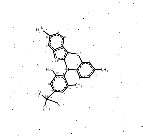 Cc1ccc2c(c1)Oc1c(sc3cc(C)ccc13)N2c1c(C)cc(C(C)(C)C)cc1C